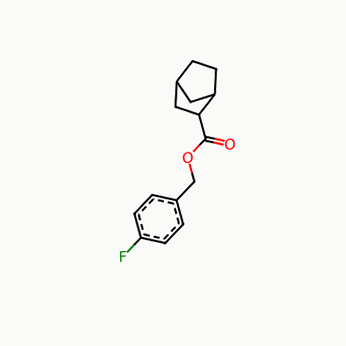 O=C(OCc1ccc(F)cc1)C1CC2CCC1C2